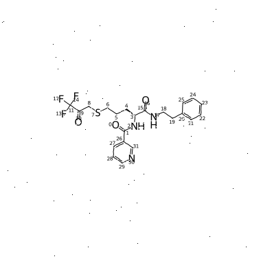 O=C(N[C@@H](CCCSCC(=O)C(F)(F)F)C(=O)NCCc1ccccc1)c1cccnc1